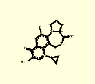 O=C(O)c1cn(C2CC2)c2c3c(c(F)cc2c1=O)N1CCCC1C(=O)NC3